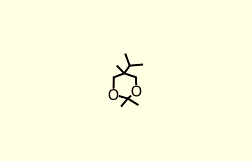 CC(C)C1(C)COC(C)(C)OC1